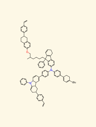 C=Cc1ccc(C2CCc3cc(OCC(C)CCCCC4(c5ccccc5)C5=C(CCC=C5)c5ccc(N(c6ccc(C7=CC8C9CC(c%10ccc(C=C)cc%10)CC=C9N(c9ccccc9)C8C=C7)cc6)c6ccc(C7=CC=C(C(C)(C)C)CC7)cc6)cc54)ccc3C2)cc1